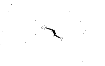 CC(C)/C=C/[N+](=O)[O-]